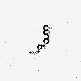 O=C(O)CN1CCC(F)(C(=O)N2CCC(Cc3ccc4c(n3)NCCC4)CC2)C1